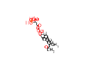 CC(=O)CC[C@@H](C)C1CCC2C3CC[C@@H]4C[C@H](OC(=O)OCOC(=O)CCC(CP(=O)(O)O)C(=O)O)CC[C@]4(C)C3CC[C@@]21C